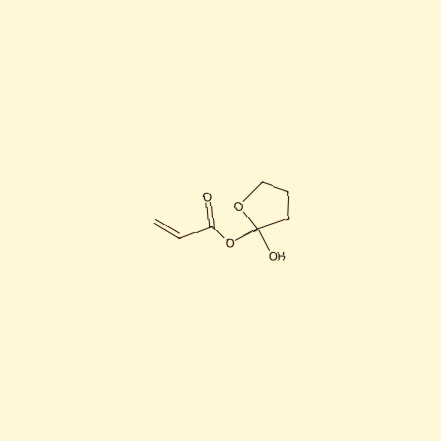 C=CC(=O)OC1(O)CCCO1